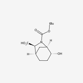 CC(C)(C)OC(=O)N1[C@@H]2C[C@@H](CC[C@H]2O)[C@H]1C(=O)O